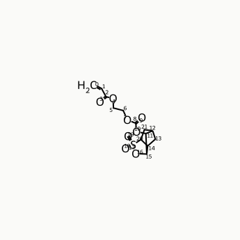 C=CC(=O)OCCOC(=O)OC1C2CC3C1OS(=O)(=O)C3C2